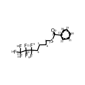 O=C(SCCCCC(F)(F)C(F)(F)C(F)(F)F)c1ccccc1